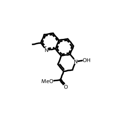 COC(=O)C1=Cc2c(ccc3ccc(C)nc23)N(O)C1